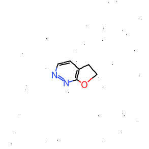 c1cc2c(nn1)OCC2